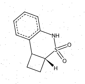 O=S1(=O)Nc2ccccc2C2CC[C@H]21